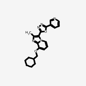 Cc1nc2c(OCC3CCCCC3)cccn2c1-c1nnc(-c2cccnc2)o1